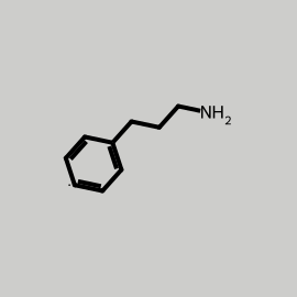 NCCCc1cc[c]cc1